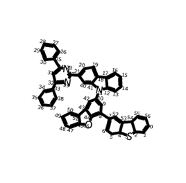 C1=CC2SC3CC=C(c4cc(-n5c6ccccc6c6ccc(-c7nc(-c8ccccc8)cc(-c8ccccc8)n7)cc65)cc5c4oc4ccccc45)C=C3C2C=C1